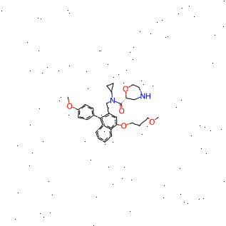 COCCCOc1cc(CN(C(=O)[C@H]2CNCCO2)C2CC2)c(-c2ccc(OC)cc2)c2ccccc12